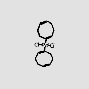 [Cl][Pd]([Cl])([C]1=CCCC=CCC1)[C]1=CCCC=CCC1